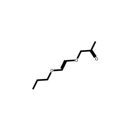 CCCOC=COCC(C)=O